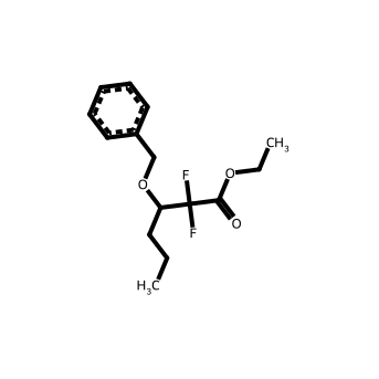 CCCC(OCc1ccccc1)C(F)(F)C(=O)OCC